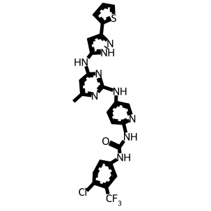 Cc1cc(Nc2cc(-c3cccs3)n[nH]2)nc(Nc2ccc(NC(=O)Nc3ccc(Cl)c(C(F)(F)F)c3)nc2)n1